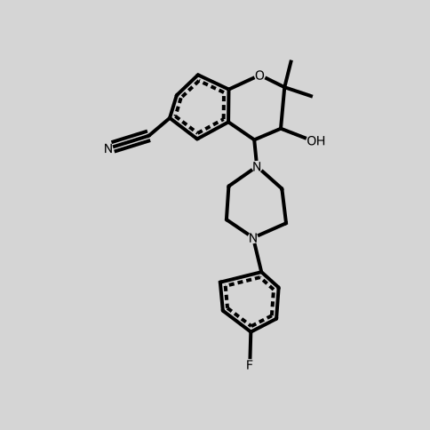 CC1(C)Oc2ccc(C#N)cc2C(N2CCN(c3ccc(F)cc3)CC2)C1O